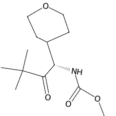 COC(=O)N[C@H](C(=O)C(C)(C)C)C1CCOCC1